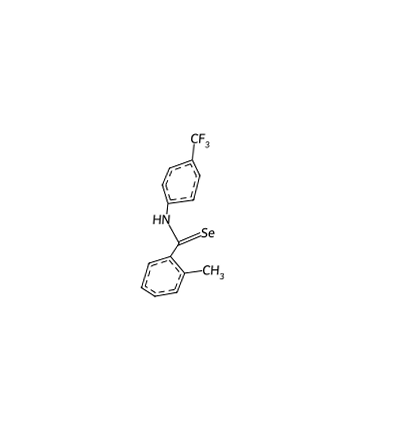 Cc1ccccc1C(=[Se])Nc1ccc(C(F)(F)F)cc1